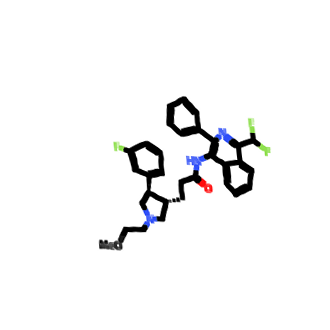 COCCN1C[C@@H](CCC(=O)Nc2c(-c3ccccc3)nc(C(F)F)c3ccccc23)[C@H](c2cccc(F)c2)C1